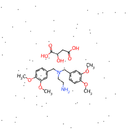 COc1ccc(CN(CCN)Cc2ccc(OC)c(OC)c2)cc1OC.O=C(O)CC(O)C(=O)O